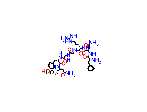 N=C(N)NCCC[C@H](NC(=O)[C@H](CC(N)=O)NC(=O)[C@@H](N)Cc1ccccc1)C(=O)NCC(=O)NCC(=O)N[C@@H](Cc1ccc(O)cc1)C(=O)N[C@@H](CC(N)=O)C(=O)O